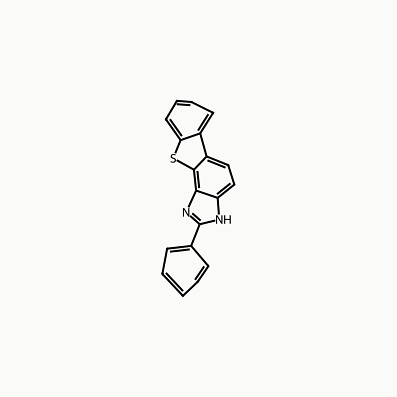 c1ccc(-c2nc3c(ccc4c5ccccc5sc43)[nH]2)cc1